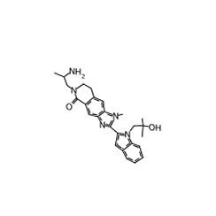 CC(N)CN1CCc2cc3c(cc2C1=O)nc(-c1cc2ccccc2n1CC(C)(C)O)n3C